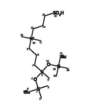 CC(C)(C)[Si](C)(C)O[Si](C)(CCC[N+](C)(C)CCCS(=O)(=O)O)O[Si](C)(C)C(C)(C)C